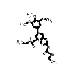 CCNC(=O)Nc1nc2cc(-c3cc(OC)c(OC)c(OC)c3)cc(C(=O)NCC)n2n1